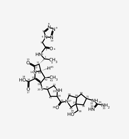 CC(NC(=O)Cn1cnnn1)[C@H]1C(=O)N2C(C(=O)O)=C(SC3CNC(C(=O)N4CC5CC(NC(=N)N)CC5(CO)C4)C3)[C@H](C)[C@H]12